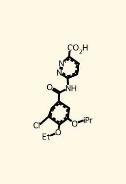 CCOc1c(Cl)cc(C(=O)Nc2ccc(C(=O)O)nn2)cc1OC(C)C